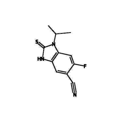 CC(C)n1c(=S)[nH]c2cc(C#N)c(F)cc21